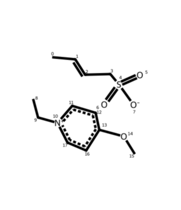 C/C=C/CS(=O)(=O)[O-].CC[n+]1ccc(OC)cc1